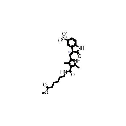 COC(=O)CCCCCNC(=O)c1c(C)[nH]c(/C=C2\C(=O)Nc3ccc([N+](=O)[O-])cc32)c1C